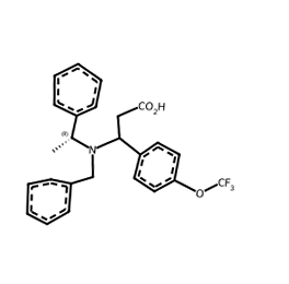 C[C@H](c1ccccc1)N(Cc1ccccc1)C(CC(=O)O)c1ccc(OC(F)(F)F)cc1